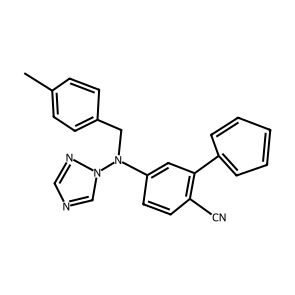 Cc1ccc(CN(c2ccc(C#N)c(-c3ccccc3)c2)n2cncn2)cc1